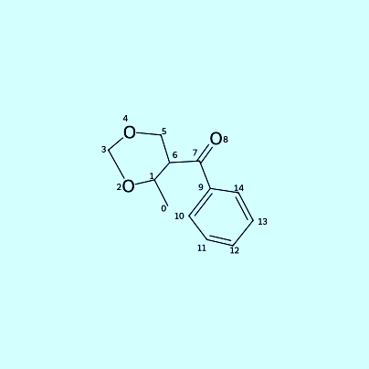 CC1OCOCC1C(=O)c1ccccc1